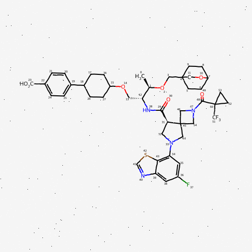 C[C@@H](OCC12CCC(CC1)OC2)[C@@H](COC1CCC(c2ccc(C(=O)O)cc2)CC1)NC(=O)[C@@H]1CN(c2cc(F)cc3ncsc23)CC12CN(C(=O)C1(C(F)(F)F)CC1)C2